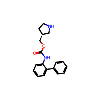 O=C(Nc1ccccc1-c1ccccc1)OC[C@H]1CCNC1